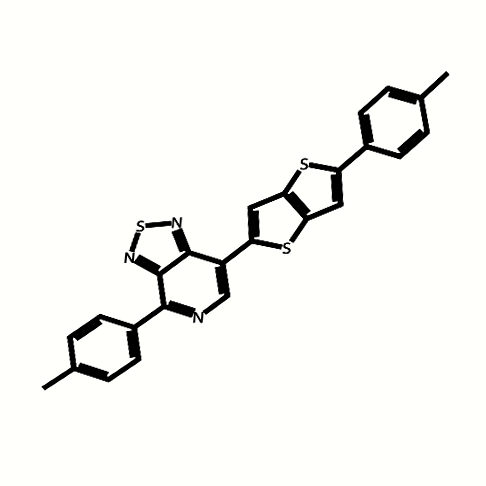 Cc1ccc(-c2cc3sc(-c4cnc(-c5ccc(C)cc5)c5nsnc45)cc3s2)cc1